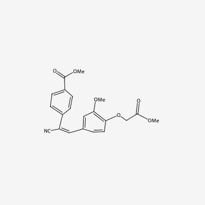 COC(=O)COc1ccc(C=C(C#N)c2ccc(C(=O)OC)cc2)cc1OC